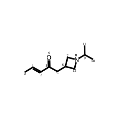 C/C=C/C(=O)CC1CN(C(C)C)C1